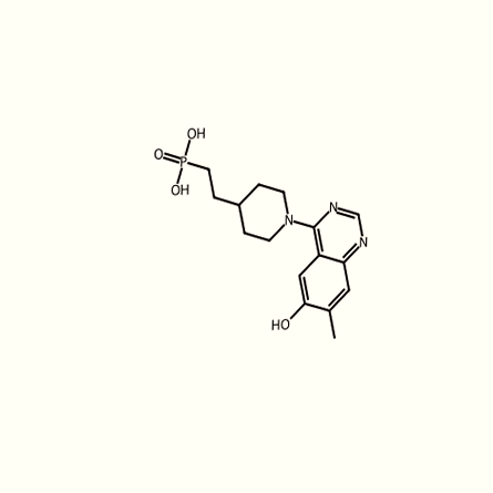 Cc1cc2ncnc(N3CCC(CCP(=O)(O)O)CC3)c2cc1O